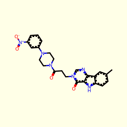 Cc1ccc2[nH]c3c(=O)n(CCC(=O)N4CCN(c5cccc([N+](=O)[O-])c5)CC4)cnc3c2c1